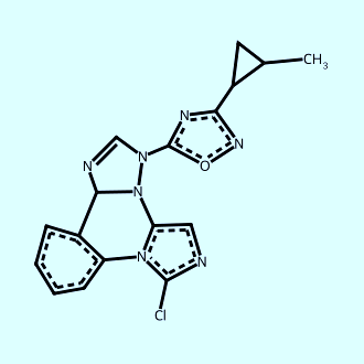 CC1CC1c1noc(N2C=NC3c4ccccc4-n4c(cnc4Cl)N32)n1